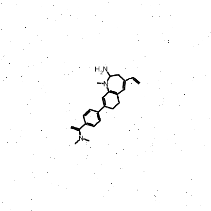 C=CC1=CC2=C(C=C(c3ccc(C(=C)N(C)C)cc3)CC2)N(C)C(N)C1